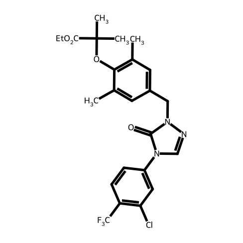 CCOC(=O)C(C)(C)Oc1c(C)cc(Cn2ncn(-c3ccc(C(F)(F)F)c(Cl)c3)c2=O)cc1C